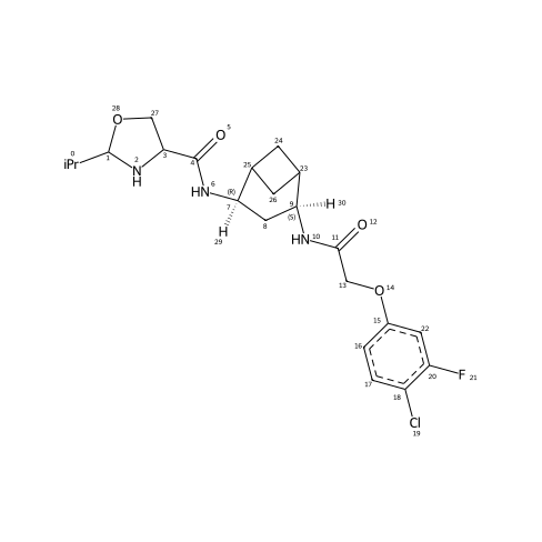 CC(C)C1NC(C(=O)N[C@@H]2C[C@H](NC(=O)COc3ccc(Cl)c(F)c3)C3CC2C3)CO1